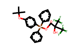 CC(C)(C)Oc1ccc(S(OC(=O)C(O)(C(F)(F)F)C(F)(F)F)(c2ccccc2)c2ccccc2)cc1